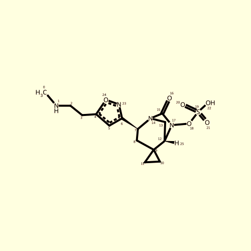 CNCCc1cc([C@@H]2CC3(CC3)[C@@H]3CN2C(=O)N3OS(=O)(=O)O)no1